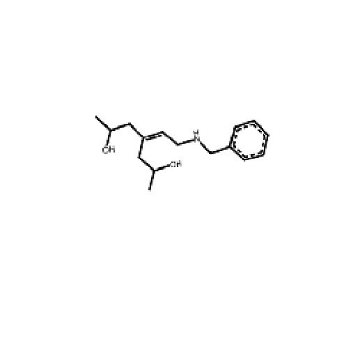 CC(O)CC(=CCNCc1ccccc1)CC(C)O